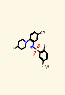 CCc1ccc(C(=O)O)cc1S(=O)(=O)Nc1cc(C#N)ccc1N1CCC(F)CC1